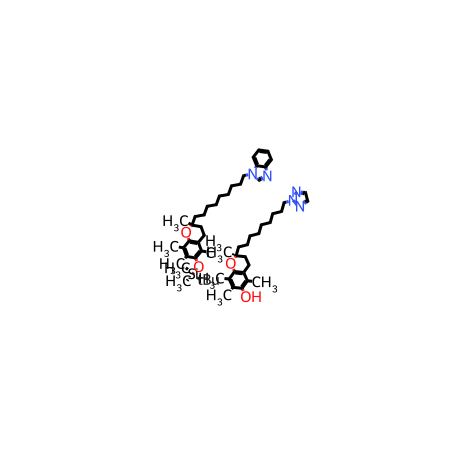 Cc1c(C)c2c(c(C)c1O)CC[C@@](C)(CCCCCCCCCn1nccn1)O2.Cc1c(C)c2c(c(C)c1O[Si](C)(C)C(C)(C)C)CCC(C)(CCCCCCCCCn1cnc3ccccc31)O2